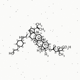 C=C(C)[C@@H]1CC[C@]2(CCNC3CCN(CCO)CC3)CC[C@]3(C)[C@H](CC[C@@H]4[C@@]5(C)CC[C@H](OC(=O)CC(C)(C)CC(=O)O)C(C)(C)[C@@H]5CC[C@]43C)[C@@H]12